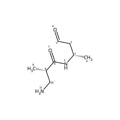 C[C@@H](CC=O)NC(=O)[C@@H](C)CN